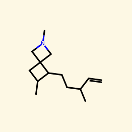 C=CC(C)CCC1C(C)CC12CN(C)C2